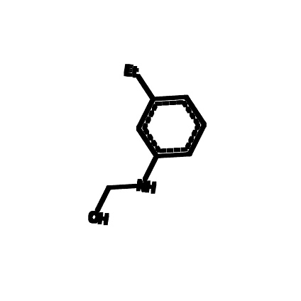 CCc1cccc(NCO)c1